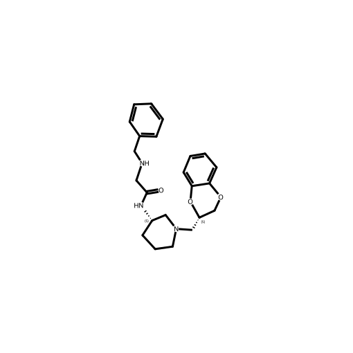 O=C(CNCc1ccccc1)N[C@H]1CCCN(C[C@H]2COc3ccccc3O2)C1